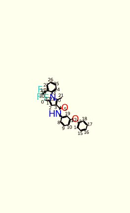 Cc1cc(C(=O)Nc2cccc(Oc3ccccc3)c2)c(C)n1-c1ccccc1C(F)(F)F